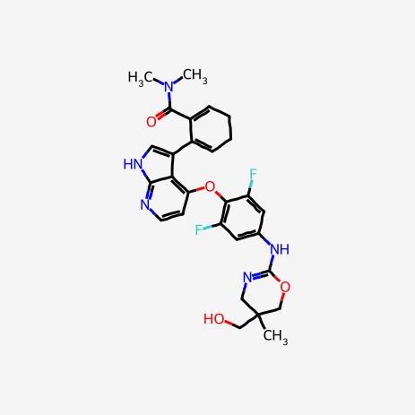 CN(C)C(=O)C1=CCCC=C1c1c[nH]c2nccc(Oc3c(F)cc(NC4=NCC(C)(CO)CO4)cc3F)c12